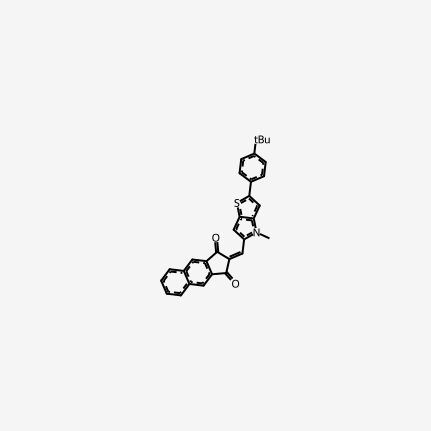 Cn1c(C=C2C(=O)c3cc4ccccc4cc3C2=O)cc2sc(-c3ccc(C(C)(C)C)cc3)cc21